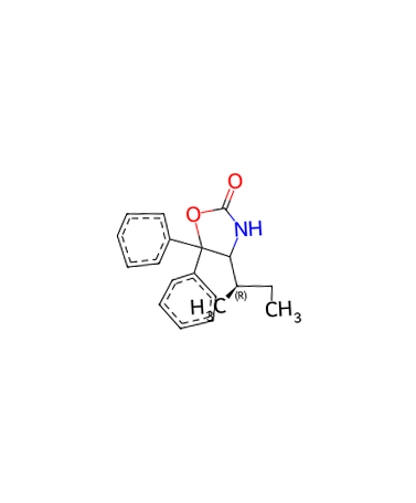 CC[C@@H](C)C1NC(=O)OC1(c1ccccc1)c1ccccc1